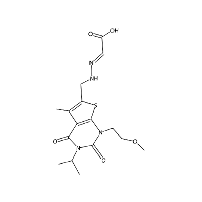 COCCn1c(=O)n(C(C)C)c(=O)c2c(C)c(CNN=CC(=O)O)sc21